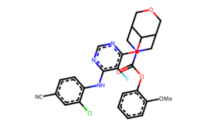 COc1ccccc1OC(=O)N1CC2COCC(C1)C2Oc1ncnc(Nc2ccc(C#N)cc2Cl)c1F